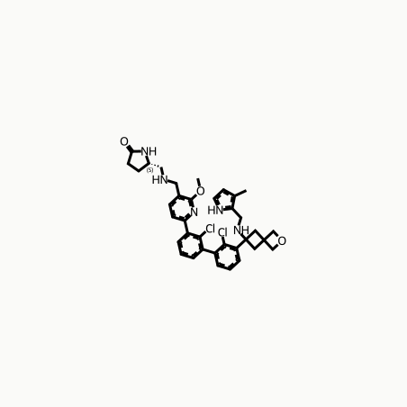 COc1nc(-c2cccc(-c3cccc(C4(NCc5[nH]ccc5C)CC5(COC5)C4)c3Cl)c2Cl)ccc1CNC[C@@H]1CCC(=O)N1